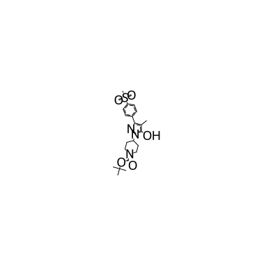 Cc1c(-c2ccc(S(C)(=O)=O)cc2)nn(C2CCN(C(=O)OC(C)(C)C)CC2)c1O